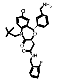 CC(C)(C)CN1C(=O)[C@H](CC(=O)NCc2ccccc2F)O[C@@H](c2cccc(CN)c2)c2cc(Cl)ccc21